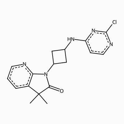 CC1(C)C(=O)N(C2CC(Nc3ccnc(Cl)n3)C2)c2ncccc21